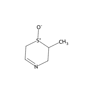 CC1CN=CC[S+]1[O-]